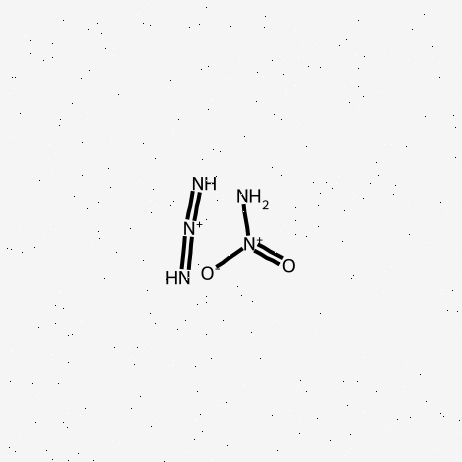 N=[N+]=N.N[N+](=O)[O-]